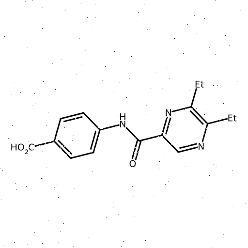 CCc1ncc(C(=O)Nc2ccc(C(=O)O)cc2)nc1CC